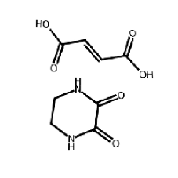 O=C(O)/C=C/C(=O)O.O=C1NCCNC1=O